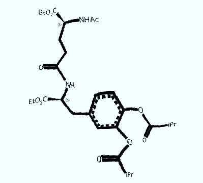 CCOC(=O)[C@H](CCC(=O)N[C@@H](Cc1ccc(OC(=O)C(C)C)c(OC(=O)C(C)C)c1)C(=O)OCC)NC(C)=O